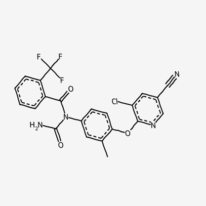 Cc1cc(N(C(N)=O)C(=O)c2ccccc2C(F)(F)F)ccc1Oc1ncc(C#N)cc1Cl